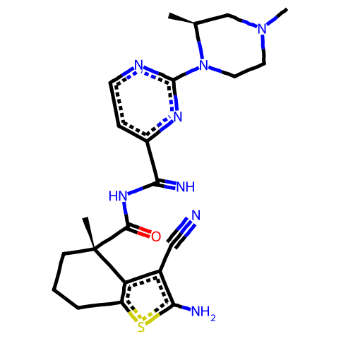 C[C@H]1CN(C)CCN1c1nccc(C(=N)NC(=O)[C@@]2(C)CCCc3sc(N)c(C#N)c32)n1